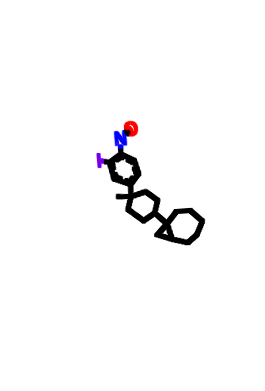 CC1(c2ccc(N=O)c(I)c2)CCC(C23CCCCCC2C3)CC1